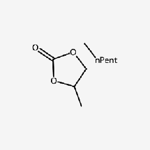 CC1COC(=O)O1.CCCCCC